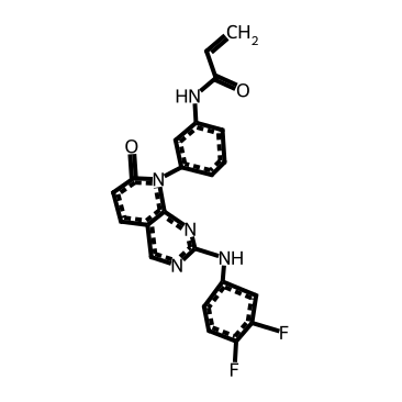 C=CC(=O)Nc1cccc(-n2c(=O)ccc3cnc(Nc4ccc(F)c(F)c4)nc32)c1